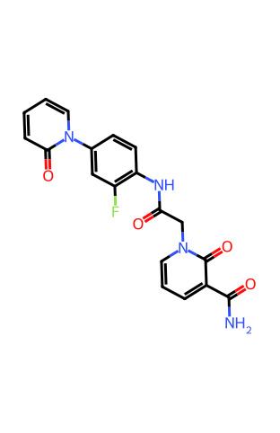 NC(=O)c1cccn(CC(=O)Nc2ccc(-n3ccccc3=O)cc2F)c1=O